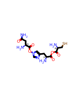 NC(=O)C[C@H](N)C(=O)On1cnc(C[C@H](N)C(=O)OC(=O)[C@@H](N)CS)c1